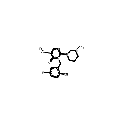 CC(C)Nc1cnc(N2CCC[C@@H](N)C2)n(Cc2cc(F)ccc2C#N)c1=O